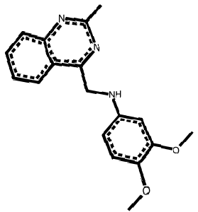 COc1ccc(NCc2nc(C)nc3ccccc23)cc1OC